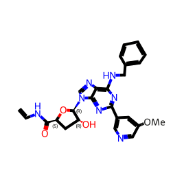 C=CNC(=O)[C@@H]1C[C@@H](O)[C@H](n2cnc3c(NCc4ccccc4)nc(-c4cncc(OC)c4)nc32)O1